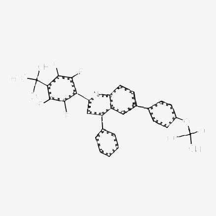 CCC(C)(CC)Oc1ccc(-c2ccc3nc(-c4c(F)c(F)c(C(C)(C)CC)c(F)c4F)cc(-c4ccccc4)c3c2)cc1